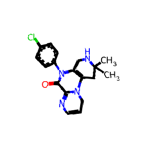 CC1(C)CC2=C(CN1)N(c1ccc(Cl)cc1)C(=O)C1=NC=CCN12